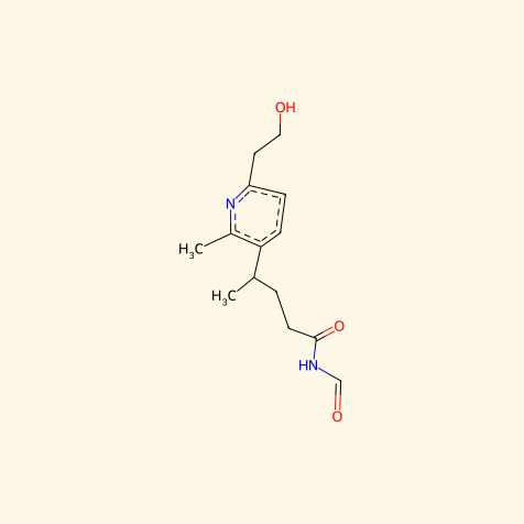 Cc1nc(CCO)ccc1C(C)CCC(=O)NC=O